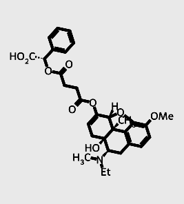 CCN(C)[C@@H]1Cc2ccc(OC)c3c2[C@@]2(C)[C@@H](O3)C(OC(=O)CCC(=O)O[C@H](C(=O)O)c3ccccc3)=CC[C@@]12O